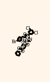 C[C@@]1(Cc2ccc(Br)cc2)C(=O)N(c2cc(Cl)cc(Cl)c2)c2ncc(S(=O)(=O)N3CCN(S(=O)(=O)c4ccccc4)CC3)n21